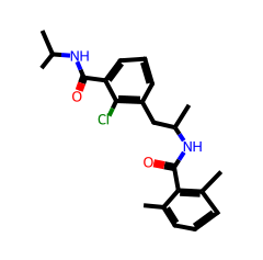 Cc1cccc(C)c1C(=O)NC(C)Cc1cccc(C(=O)NC(C)C)c1Cl